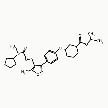 Cc1onc(-c2ccc(O[C@H]3CCC[C@H](C(=O)OC(C)C)C3)cc2)c1COC(=O)N(C)C1CCCC1